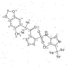 [2H]C([2H])([2H])c1noc(NS(=O)(=O)c2ccsc2C(=O)C([2H])([2H])c2cc3c(cc2C)OCO3)c1Cl